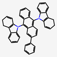 C1=Cc2c(c3ccccc3n2-c2c3ccccc3c(-n3c4c(c5ccccc53)CCC=C4)c3cc(-c4ccccc4)ccc23)CC1